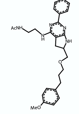 COc1ccc(CCCOCC2Cc3c(NCCNC(C)=O)nc(-c4ccccc4)nc3N2)cc1